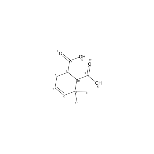 CC1(C)C=CCC(C(=O)O)C1C(=O)O